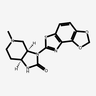 CN1CC[C@@H]2NC(=O)N(c3nc4c5c(ccc4s3)OCO5)[C@@H]2C1